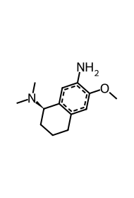 COc1cc2c(cc1N)[C@H](N(C)C)CCC2